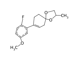 COc1ccc(F)c(C2=CCC3(CC2)OCC(C)O3)c1